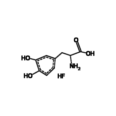 F.NC(Cc1ccc(O)c(O)c1)C(=O)O